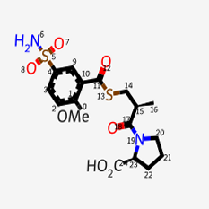 COc1ccc(S(N)(=O)=O)cc1C(=O)SC[C@@H](C)C(=O)N1CCC[C@H]1C(=O)O